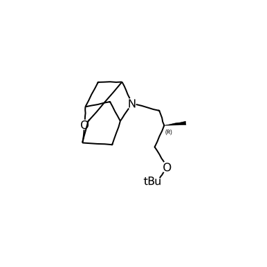 C[C@@H](COC(C)(C)C)CN1C2CC3CC1CC(C2)O3